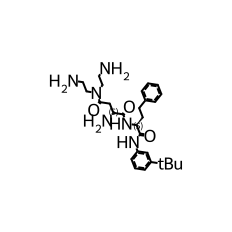 CC(C)(C)c1cccc(NC(=O)[C@H](CCc2ccccc2)NC(=O)[C@@H](N)CC(=O)N(CCN)CCN)c1